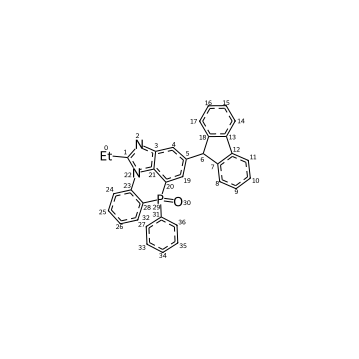 CCc1nc2cc(C3c4ccccc4-c4ccccc43)cc3c2n1-c1ccccc1P3(=O)c1ccccc1